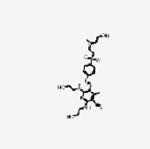 Cc1c(C#N)c(NCCO)nc(NCCO)c1/N=N/c1ccc(S(=O)(=O)CCN(C)CCO)cc1